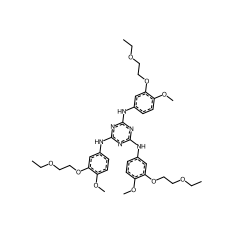 CCOCCOc1cc(Nc2nc(Nc3ccc(OC)c(OCCOCC)c3)nc(Nc3ccc(OC)c(OCCOCC)c3)n2)ccc1OC